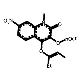 CC=C(CC)Oc1c(OCCCCCCCC)c(=O)n(C)c2cc([N+](=O)[O-])ccc12